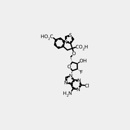 Nc1nc(Cl)nc2c1ncn2[C@@H]1O[C@H](COC(Cc2ccc(C(=O)O)cc2)(C(=O)O)c2cscn2)[C@@H](O)[C@@H]1F